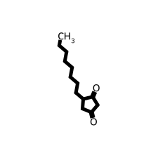 CCCCCCCCC1CC(=O)CC1=O